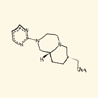 OC[C@@H]1CC[C@@H]2CN(c3ncccn3)CCN2C1